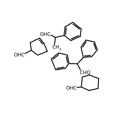 CC(C=O)c1ccccc1.O=CC(c1ccccc1)c1ccccc1.O=CC1CC=CCC1.O=CC1CCCCC1